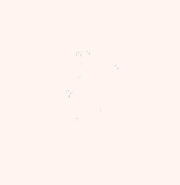 Cc1cc(-c2n[nH]c3ccc(C(=O)N[C@@H]4CCC[C@@](F)(Cc5ccccc5F)C4)cc23)ccn1